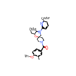 COCC1CN(c2cccc(OC)n2)CC2(CCN(C(=O)c3ccc(OC(C)C)c(C)c3)CC2)O1